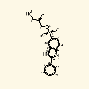 O=C(CO)COS(=O)(=O)c1ccc2nc(-c3ccccc3)[nH]c2c1